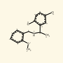 COc1ccccc1CNC(C)c1cc(Cl)ccc1Cl